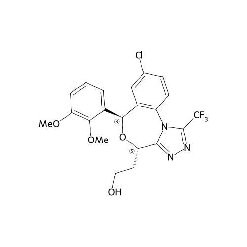 COc1cccc([C@@H]2O[C@@H](CCO)c3nnc(C(F)(F)F)n3-c3ccc(Cl)cc32)c1OC